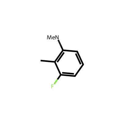 CNc1cccc(F)c1C